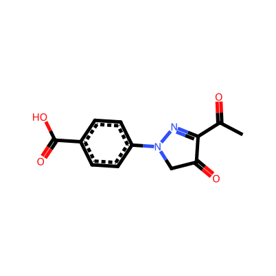 CC(=O)C1=NN(c2ccc(C(=O)O)cc2)CC1=O